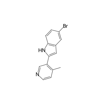 Cc1ccncc1-c1cc2cc(Br)ccc2[nH]1